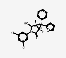 C[C@]12C(O)N(c3cc(Cl)cc(Cl)c3)C(=O)[C@H]1[C@]2(c1ccccc1)c1ccco1